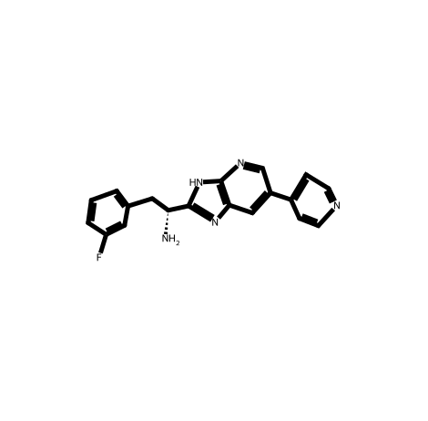 N[C@H](Cc1cccc(F)c1)c1nc2cc(-c3ccncc3)cnc2[nH]1